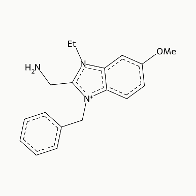 CCn1c(CN)[n+](Cc2ccccc2)c2ccc(OC)cc21